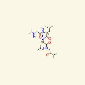 CC(C)C[C@H](NC(=O)CNC(C)C)C(=O)N[C@@H](CC(C)C)C(=O)NCC(=O)C(C)C